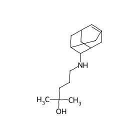 CC(C)(O)CCCNC1C2CC3=CC(C2)CC1C3